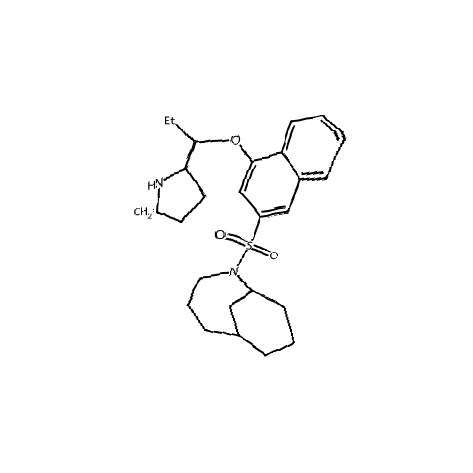 CCC(Oc1cc(S(=O)(=O)N2CCCC3CCCC2C3)cc2ccccc12)C1CCCN1.[CH2]